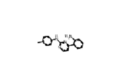 Cc1ccc(Nc2nccc(-c3ccccc3N)n2)cc1